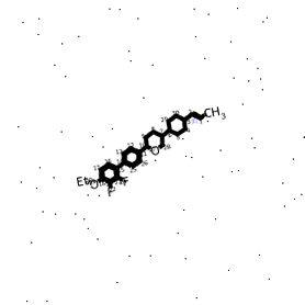 C/C=C/C1CCC(C2CCC(c3ccc(-c4ccc(OCC)c(F)c4F)cc3)OC2)CC1